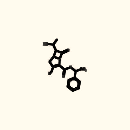 CC(O)C1C(=O)N2C(C(=O)OC(c3ccccc3)[N+](=O)[O-])=C(Br)CC12